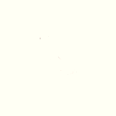 C=CCOc1ccc2c(c1)CCCC2=O